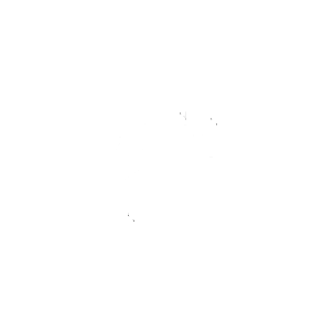 Cc1nc[nH]c1Cc1cccc2ccc(C#N)cc12